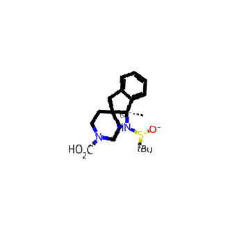 CC(C)(C)[S+]([O-])N[C@]1(C)c2ccccc2CC12CCN(C(=O)O)CC2